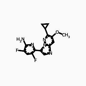 COc1cc2ncc(-c3nc(N)c(F)cc3F)n2nc1C1CC1